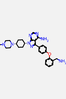 CN1CCN([C@H]2CC[C@@H](n3nc(-c4ccc(Oc5ccccc5CN)cc4)c4c(N)ncnc43)CC2)CC1